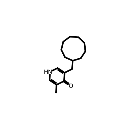 Cc1c[nH]cc(CC2CCCCCCCC2)c1=O